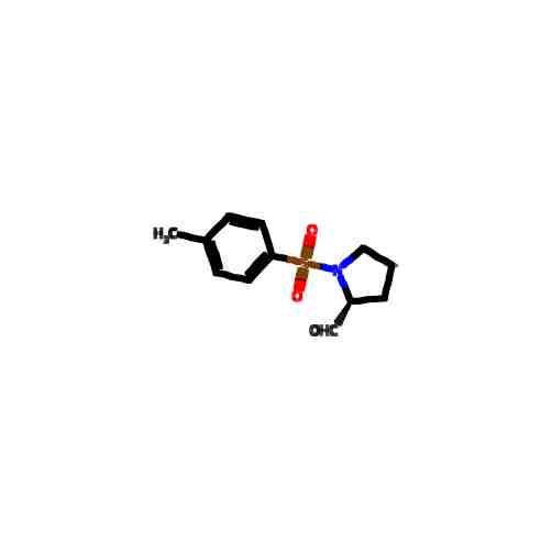 Cc1ccc(S(=O)(=O)N2C[CH]C[C@H]2C=O)cc1